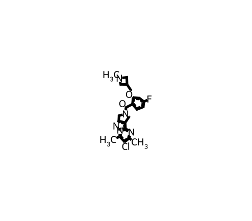 Cc1nc2c3c(nn2c(C)c1Cl)CN(C(=O)c1ccc(F)cc1OCC1CN(C)C1)C3